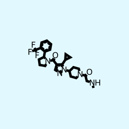 CNCC(=O)N1CCC(n2ncc(C(=O)N3CCCC3c3ccccc3C(F)(F)F)c2C2CC2)CC1